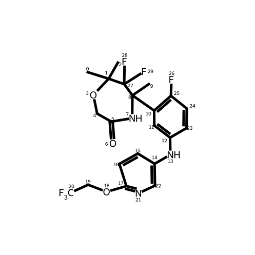 CC1(C)OCC(=O)NC(C)(c2cc(Nc3ccc(OCC(F)(F)F)nc3)ccc2F)C1(F)F